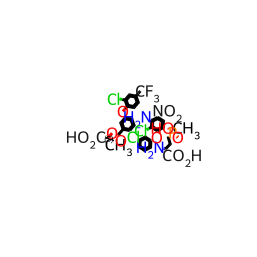 CP(=O)(O)CCC(N)C(=O)O.C[C@H](OC(=O)c1cc(Oc2ccc(C(F)(F)F)cc2Cl)ccc1Cl)C(=O)O.Nc1c([N+](=O)[O-])ccc(Oc2ccccc2)c1Cl